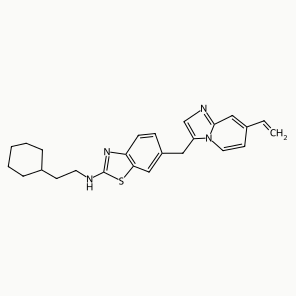 C=Cc1ccn2c(Cc3ccc4nc(NCCC5CCCCC5)sc4c3)cnc2c1